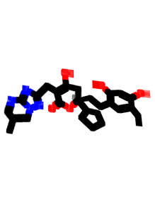 CCc1cc(CC[C@]2(C3CCCC3)CC(O)=C(Cc3nc4ncc(C)cn4n3)C(=O)O2)c(O)cc1O